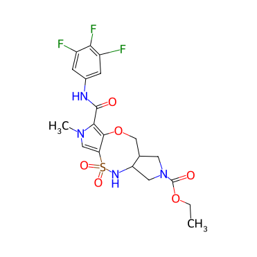 CCOC(=O)N1CC2COc3c(cn(C)c3C(=O)Nc3cc(F)c(F)c(F)c3)S(=O)(=O)NC2C1